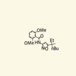 CCCCC(C)(CC)c1cc(NC(=O)c2c(OC)cccc2OC)no1